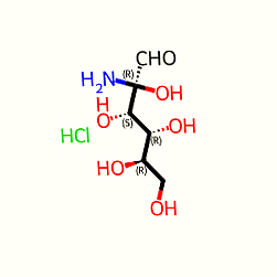 Cl.N[C@](O)(C=O)[C@@H](O)[C@H](O)[C@H](O)CO